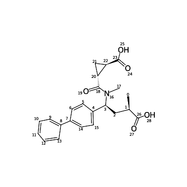 C[C@H](C[C@@H](c1ccc(-c2ccccc2)cc1)N(C)C(=O)[C@@H]1C[C@H]1C(=O)O)C(=O)O